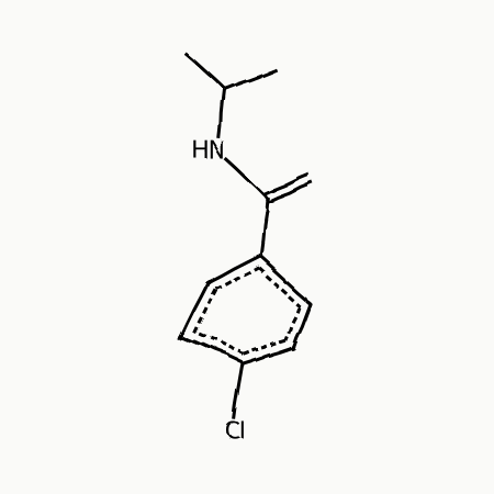 C=C(NC(C)C)c1ccc(Cl)cc1